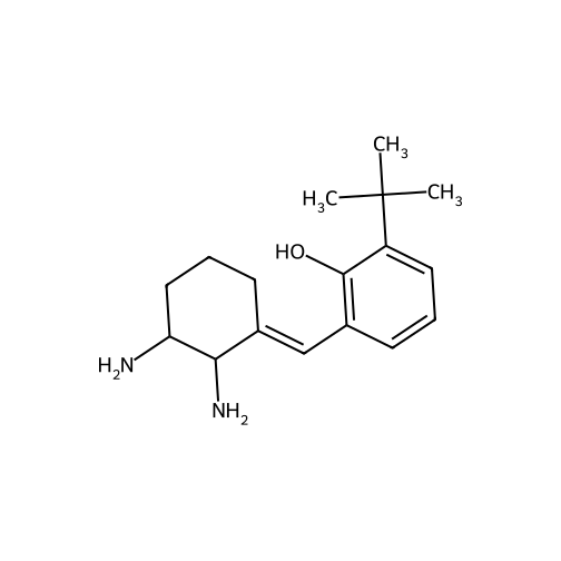 CC(C)(C)c1cccc(C=C2CCCC(N)C2N)c1O